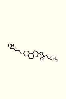 CCCCCC[C@@H]1CCC2C(CCC3C[C@H](OC(=O)CCC)CCC32)C1